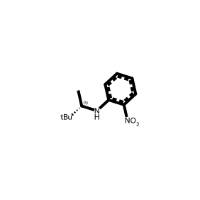 C[C@H](Nc1ccccc1[N+](=O)[O-])C(C)(C)C